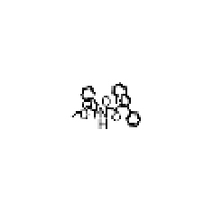 CCOC(=O)C(C)(Cc1ccccc1)NC(=O)C(=O)c1c(-c2ccccc2)cc2ccccn12